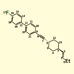 CCC=C[C@H]1CC[C@H](C#Cc2ccc(-c3ccc(F)cc3)cc2)CC1